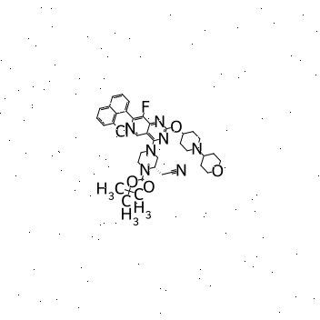 CC(C)(C)OC(=O)N1CCN(c2nc(OC3CCN(C4CCOCC4)CC3)nc3c(F)c(-c4cccc5cccc(Cl)c45)ncc23)C[C@@H]1CC#N